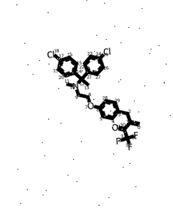 C=C(Cc1ccc(OCCN(C)C(C)(c2ccc(Cl)cc2)c2ccc(Cl)cc2)cc1)C(=O)C(F)(F)F